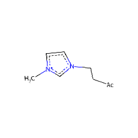 CC(=O)CCn1cc[n+](C)c1